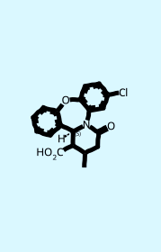 CC1CC(=O)N2c3cc(Cl)ccc3Oc3ccccc3[C@@H]2C1C(=O)O